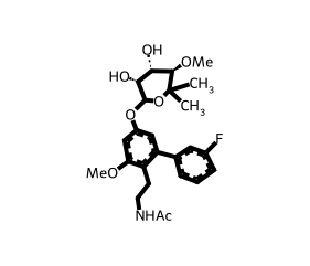 COc1cc(OC2OC(C)(C)[C@H](OC)[C@@H](O)[C@H]2O)cc(-c2cccc(F)c2)c1CCNC(C)=O